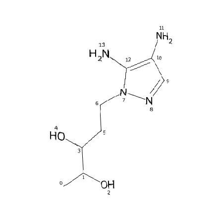 CC(O)C(O)CCn1ncc(N)c1N